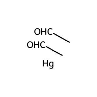 CC=O.CC=O.[Hg]